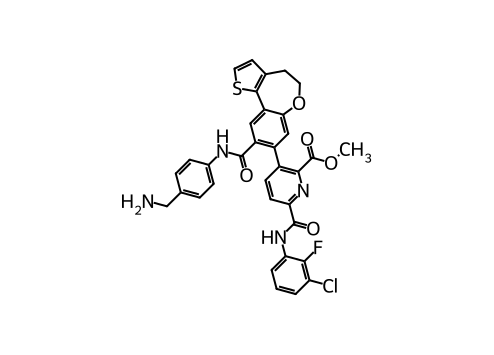 COC(=O)c1nc(C(=O)Nc2cccc(Cl)c2F)ccc1-c1cc2c(cc1C(=O)Nc1ccc(CN)cc1)-c1sccc1CCO2